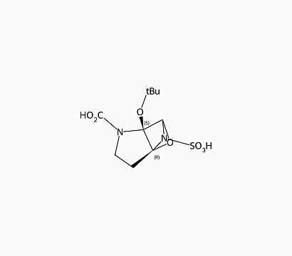 CC(C)(C)O[C@@]12C3O[C@@]1(CCN2C(=O)O)N3S(=O)(=O)O